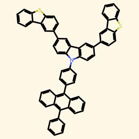 c1ccc(-c2c3ccccc3c(-c3ccc(-n4c5ccc(-c6ccc7sc8ccccc8c7c6)cc5c5cc(-c6ccc7sc8ccccc8c7c6)ccc54)cc3)c3ccccc23)cc1